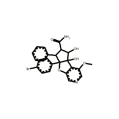 COc1cncc2c1C1(O)C(O)C(C(N)=O)C(c3ccccc3)C1(c1ccc(Br)cc1)O2